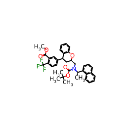 COC(=O)c1cc(C2C[C@H](CN(C(=O)OC(C)(C)C)[C@H](C)c3cccc4ccccc34)Oc3ccccc32)ccc1C(F)(F)F